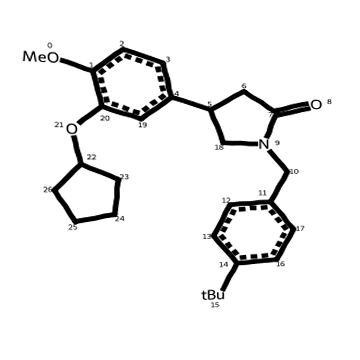 COc1ccc(C2CC(=O)N(Cc3ccc(C(C)(C)C)cc3)C2)cc1OC1CCCC1